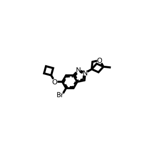 CC12CC(n3cc4cc(Br)c(OC5CCC5)cc4n3)(CO1)C2